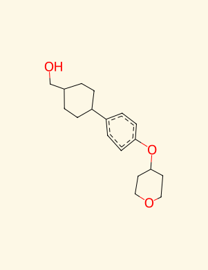 OCC1CCC(c2ccc(OC3CCOCC3)cc2)CC1